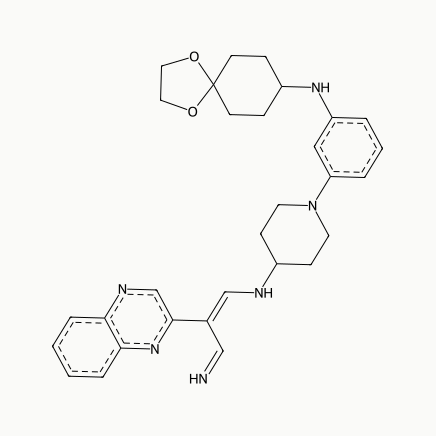 N=C/C(=C\NC1CCN(c2cccc(NC3CCC4(CC3)OCCO4)c2)CC1)c1cnc2ccccc2n1